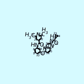 Cc1cc(C(=O)Nc2cccc(Oc3ccc4nc(NC(=O)C5CC5)cn4n3)c2)cc(C)n1